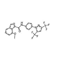 COc1cccc2coc(C(=O)Nc3ccc(-n4nc(C(F)(F)F)cc4C(F)(F)F)cc3)c12